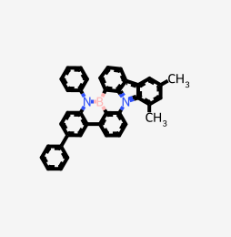 Cc1cc(C)c2c(c1)c1cccc3c1n2-c1cccc2c1B3N(c1ccccc1)c1ccc(-c3ccccc3)cc1-2